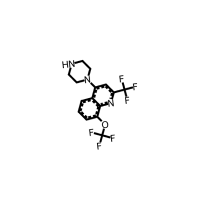 FC(F)(F)Oc1cccc2c(N3CCNCC3)cc(C(F)(F)F)nc12